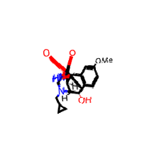 COc1ccc2c(c1)[C@@]13CCN(CC4CC4)[C@H]([C@H]1CCCNC(=O)NC(=O)C3)[C@H]2O